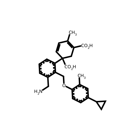 CC1=C(C(=O)O)CC(C(=O)O)(c2cccc(CN)c2COc2ccc(C3CC3)cc2C)C=C1